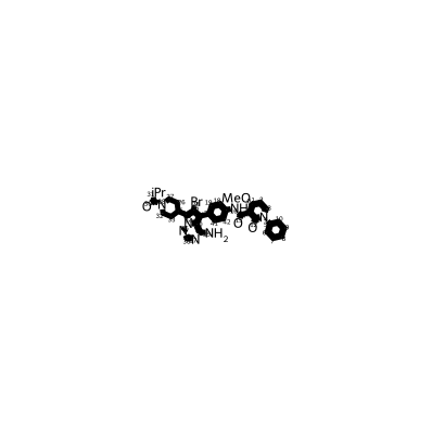 COc1ccn(-c2ccccc2)c(=O)c1C(=O)Nc1ccc(-c2c(Br)c(C3CCN(C(=O)C(C)C)CC3)n3ncnc(N)c23)cc1